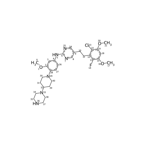 COc1cc(Nc2ncc(CCc3c(F)c(OC)cc(OC)c3Cl)cn2)ccc1N1CCC(N2CCNCC2)CC1